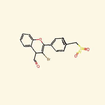 O=CC1C(Br)=C(c2ccc(C[SH](=O)=O)cc2)Oc2ccccc21